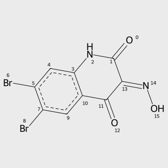 O=C1Nc2cc(Br)c(Br)cc2C(=O)C1=NO